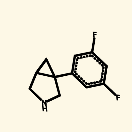 Fc1cc(F)cc(C23CNCC2C3)c1